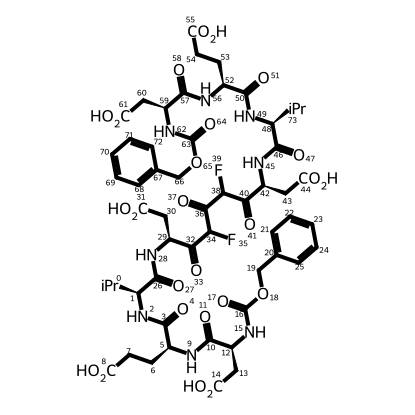 CC(C)[C@H](NC(=O)[C@H](CCC(=O)O)NC(=O)[C@H](CC(=O)O)NC(=O)OCc1ccccc1)C(=O)N[C@@H](CC(=O)O)C(=O)C(F)C(=O)C(F)C(=O)[C@H](CC(=O)O)NC(=O)[C@@H](NC(=O)[C@H](CCC(=O)O)NC(=O)[C@H](CC(=O)O)NC(=O)OCc1ccccc1)C(C)C